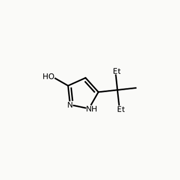 CCC(C)(CC)c1cc(O)n[nH]1